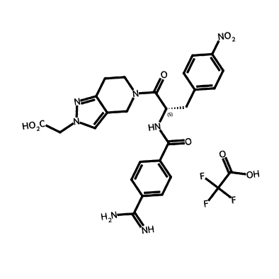 N=C(N)c1ccc(C(=O)N[C@@H](Cc2ccc([N+](=O)[O-])cc2)C(=O)N2CCc3nn(CC(=O)O)cc3C2)cc1.O=C(O)C(F)(F)F